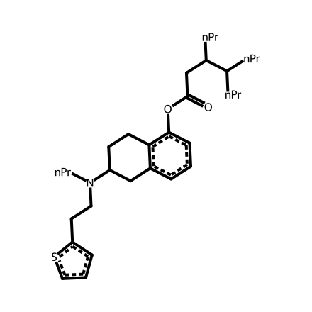 CCCC(CCC)C(CCC)CC(=O)Oc1cccc2c1CCC(N(CCC)CCc1cccs1)C2